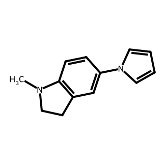 CN1CCc2cc(-n3cccc3)ccc21